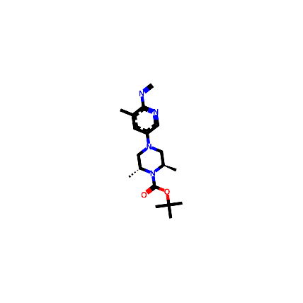 C=Nc1ncc(N2C[C@@H](C)N(C(=O)OC(C)(C)C)[C@H](C)C2)cc1C